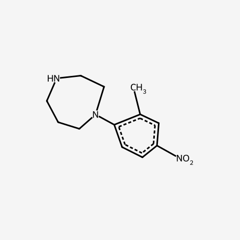 Cc1cc([N+](=O)[O-])ccc1N1CCCNCC1